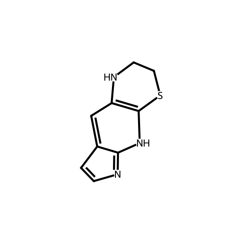 c1cc2cc3c([nH]c-2n1)SCCN3